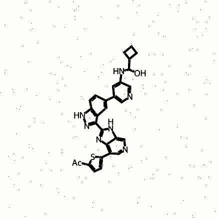 CC(=O)c1ccc(-c2cncc3[nH]c(-c4n[nH]c5ccc(-c6cncc(NC(O)C7CCC7)c6)cc45)nc23)s1